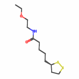 CCOCCNC(=O)CCCC[C@@H]1CCSS1